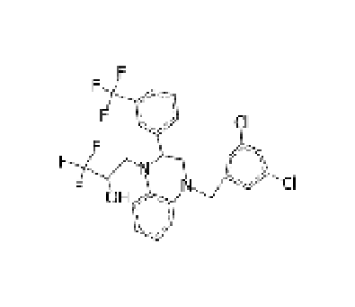 OC(CN1c2ccccc2N(Cc2cc(Cl)cc(Cl)c2)CC1c1cccc(C(F)(F)F)c1)C(F)(F)F